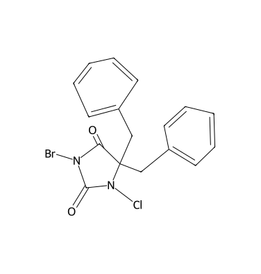 O=C1N(Br)C(=O)C(Cc2ccccc2)(Cc2ccccc2)N1Cl